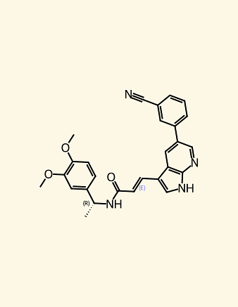 COc1ccc([C@@H](C)NC(=O)/C=C/c2c[nH]c3ncc(-c4cccc(C#N)c4)cc23)cc1OC